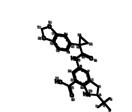 CC(C)(C)C1Cc2cc(NC(=O)C3(c4ccc5c(c4)OCO5)CC3)cc(C(=O)O)c2N1